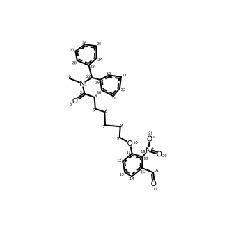 CN(C(=O)CCCCCCOc1cccc(C=O)c1[N+](=O)[O-])C(c1ccccc1)c1ccccc1